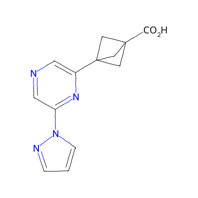 O=C(O)C12CC(c3cncc(-n4cccn4)n3)(C1)C2